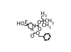 CC(C)(C)OC(=O)N1C[C@](F)(CO)C[C@H]1C(=O)OCc1ccccc1